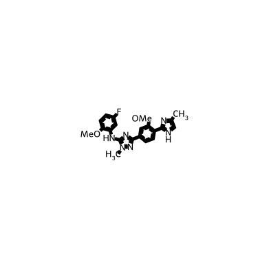 COc1ccc(F)cc1Nc1nc(-c2ccc(-c3nc(C)c[nH]3)c(OC)c2)nn1C